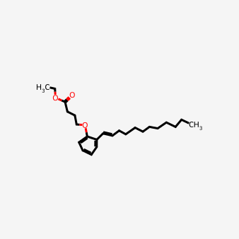 CCCCCCCCCCC=Cc1ccccc1OCCCC(=O)OCC